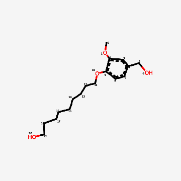 COc1cc(CO)ccc1OCCCCCCCCCO